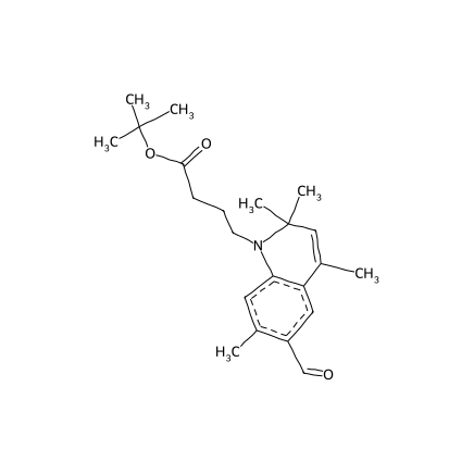 CC1=CC(C)(C)N(CCCC(=O)OC(C)(C)C)c2cc(C)c(C=O)cc21